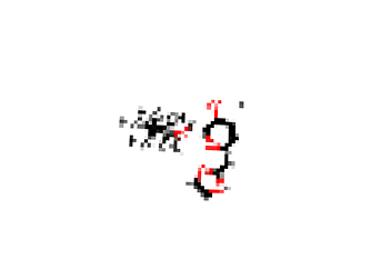 CO[C@H]1C=C[C@@H](CC2OCCO2)O[C@@H]1CO[Si](C)(C)C(C)(C)C